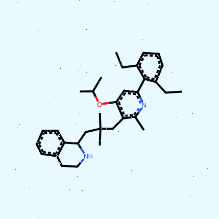 CCc1cccc(CC)c1-c1cc(OC(C)C)c(CC(C)(C)CC2NCCc3ccccc32)c(C)n1